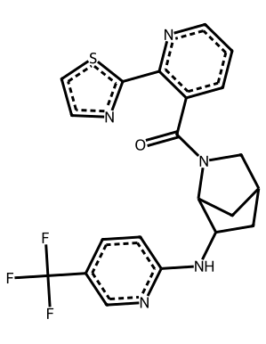 O=C(c1cccnc1-c1nccs1)N1CC2CC(Nc3ccc(C(F)(F)F)cn3)C1C2